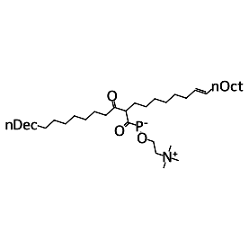 CCCCCCCCC=CCCCCCCC(C(=O)CCCCCCCCCCCCCCCCC)C(=O)[P-]OCC[N+](C)(C)C